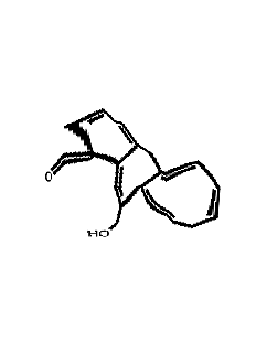 O=C1C=CC=C2C1=C(O)c1ccccc12